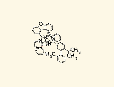 Cc1ccccc1-c1cc(-c2nc(-c3ccccc3)nc(-c3cccc4oc5cccc(-c6nc(-c7ccccc7)nc7c6sc6ccccc67)c5c34)n2)ccc1C(C)C